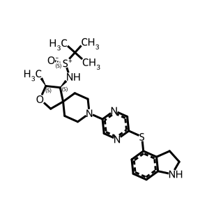 C[C@@H]1OCC2(CCN(c3cnc(Sc4cccc5c4CCN5)cn3)CC2)[C@@H]1N[S@+]([O-])C(C)(C)C